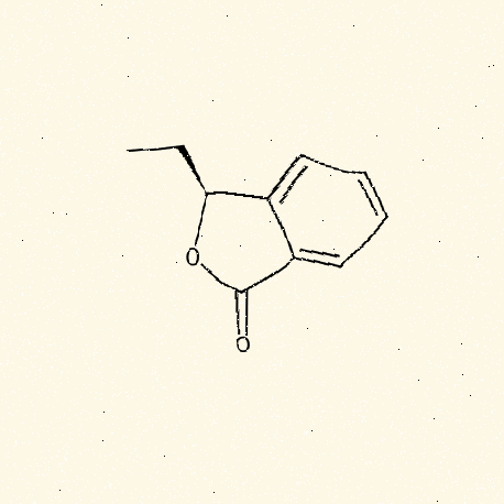 CC[C@@H]1OC(=O)c2ccccc21